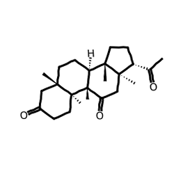 CC(=O)[C@H]1CC[C@@]2(C)[C@@H]3CC[C@@]4(C)CC(=O)CC[C@]4(C)[C@@]3(C)C(=O)C[C@]12C